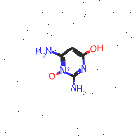 Nc1cc(O)nc(N)[n+]1[O-]